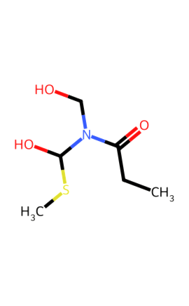 CCC(=O)N(CO)C(O)SC